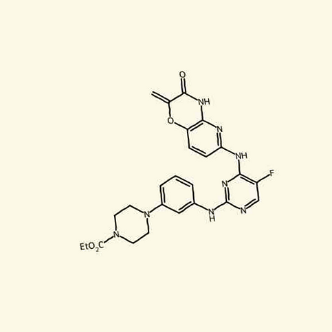 C=C1Oc2ccc(Nc3nc(Nc4cccc(N5CCN(C(=O)OCC)CC5)c4)ncc3F)nc2NC1=O